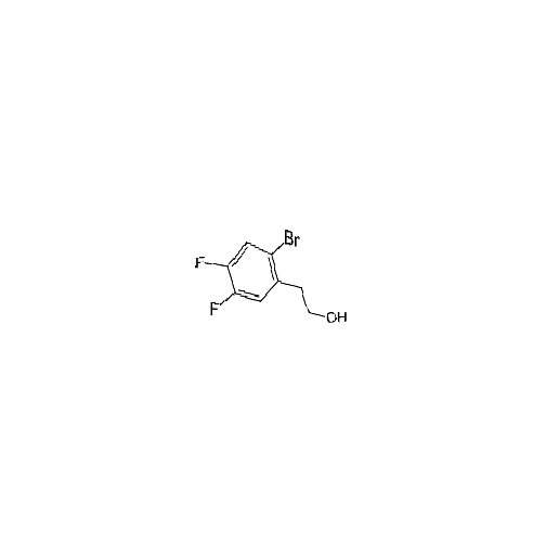 OCCc1cc(F)c(F)cc1Br